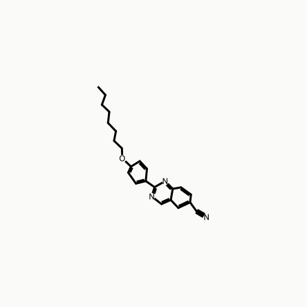 CCCCCCCCOc1ccc(-c2ncc3cc(C#N)ccc3n2)cc1